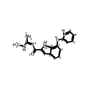 CNC(N)=NC(=O)c1cc2cccc(Oc3ccccn3)c2[nH]1